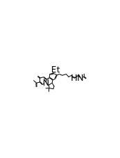 C=C(C)NCCCCCCCc1cc2c(cc1CC)C1=CC(=C)C(C(=C)C)=CN1C1C2CCC1(C)C